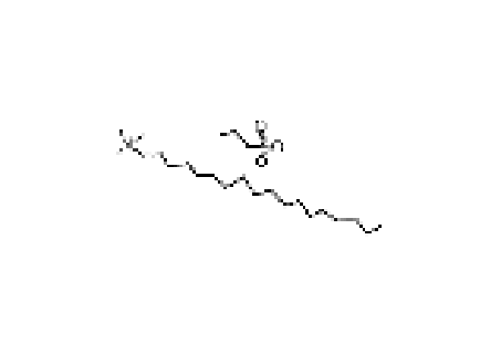 CCCCCCCCCCCCCCCCCC[N+](C)(C)C.CCCS(=O)(=O)[O-]